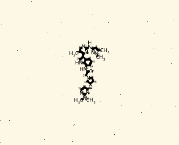 Cc1cnc(Nc2cc(C)n(C)n2)nc1-c1c[nH]c2c(NC(=O)CN3CC[C@H](Oc4ccnc(N(C)C)n4)C3)cccc12